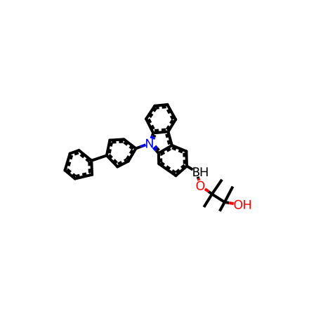 CC(C)(O)C(C)(C)OBc1ccc2c(c1)c1ccccc1n2-c1ccc(-c2ccccc2)cc1